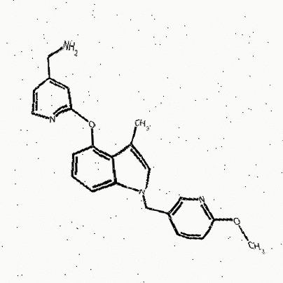 COc1ccc(Cn2cc(C)c3c(Oc4cc(CN)ccn4)cccc32)cn1